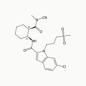 CN(C#N)C(=O)[C@@H]1CCCC[C@@H]1NC(=O)c1cc2ccc(Cl)cc2n1CCCS(C)(=O)=O